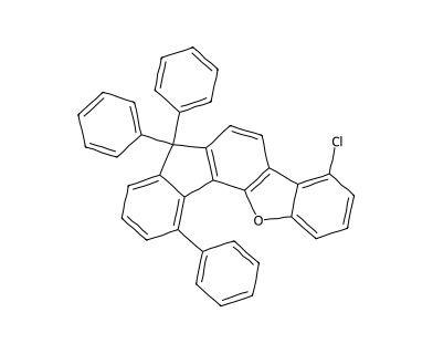 Clc1cccc2oc3c4c(ccc3c12)C(c1ccccc1)(c1ccccc1)c1cccc(-c2ccccc2)c1-4